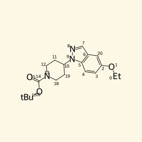 CCOc1ccc2c(cnn2C2CCN(C(=O)OC(C)(C)C)CC2)c1